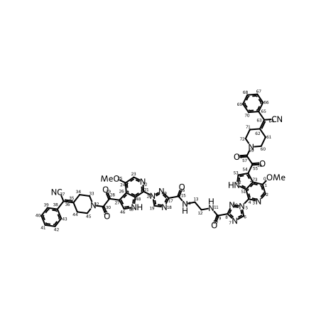 COc1cnc(-n2cnc(C(=O)NCCNC(=O)c3ncn(-c4ncc(OC)c5c(C(=O)C(=O)N6CCC(=C(C#N)c7ccccc7)CC6)c[nH]c45)n3)n2)c2[nH]cc(C(=O)C(=O)N3CCC(=C(C#N)c4ccccc4)CC3)c12